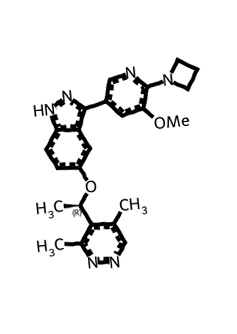 COc1cc(-c2n[nH]c3ccc(O[C@H](C)c4c(C)cnnc4C)cc23)cnc1N1CCC1